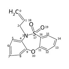 C=CCN1c2ccccc2Oc2ccccc2S1(=O)=O